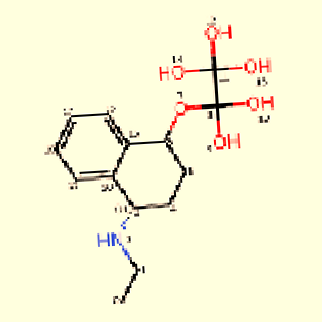 CCN[C@H]1CCC(OC(O)(O)C(O)(O)O)c2ccccc21